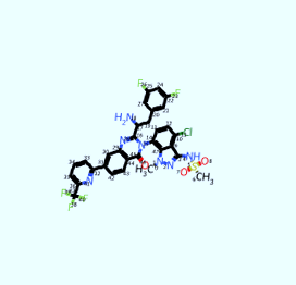 Cn1nc(NS(C)(=O)=O)c2c(Cl)ccc(-n3c(C(N)Cc4cc(F)cc(F)c4)nc4cc(-c5cccc(C(F)(F)F)n5)ccc4c3=O)c21